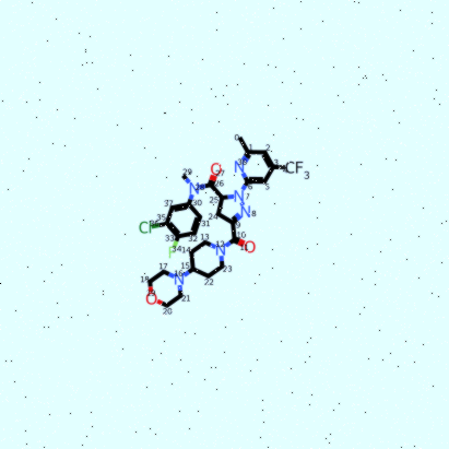 Cc1cc(C(F)(F)F)cc(N2N=C(C(=O)N3CCC(N4CCOCC4)CC3)CC2C(=O)N(C)c2ccc(F)c(Cl)c2)n1